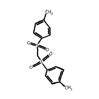 Cc1ccc(S(=O)(=O)CS(=O)(=O)c2ccc(C)cc2)cc1